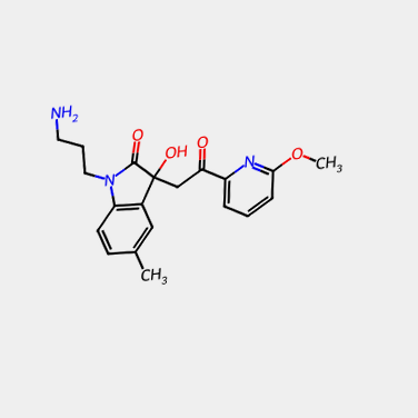 COc1cccc(C(=O)CC2(O)C(=O)N(CCCN)c3ccc(C)cc32)n1